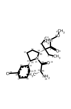 CCC(CC)(C(=O)NOC)[C@H]1CC[C@@H](c2cccc(Cl)c2)N1C(=O)[C@@H](C)N